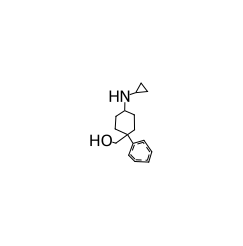 OCC1(c2ccccc2)CCC(NC2CC2)CC1